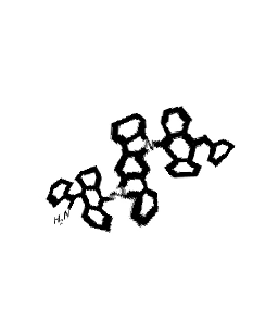 NC(C1=C2C=CC=CC2C(n2c3ccccc3c3cc4c(cc32)c2ccccc2n4-c2c3ccccc3c(CC3=CC=CCC3)c3ccccc23)c2ccccc21)c1ccccc1